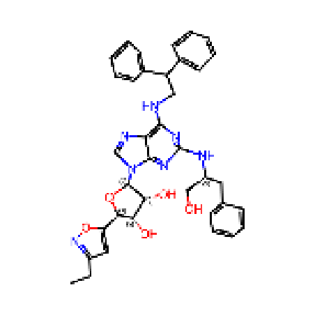 CCc1cc([C@H]2O[C@@H](n3cnc4c(NCC(c5ccccc5)c5ccccc5)nc(N[C@H](CO)Cc5ccccc5)nc43)[C@H](O)[C@@H]2O)on1